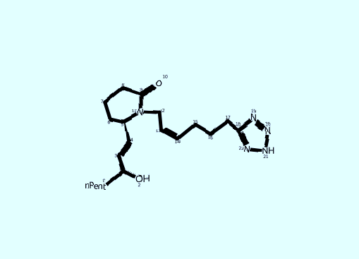 CCCCCC(O)/C=C/[C@H]1CCCC(=O)N1C/C=C\CCCc1nn[nH]n1